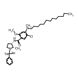 [2H]C([2H])(c1ccccc1)N1CC[C@H](NC(=O)c2cc(Cl)c(N(C)CCCCCCCCCCCCC)cc2OC)[C@@H]1C